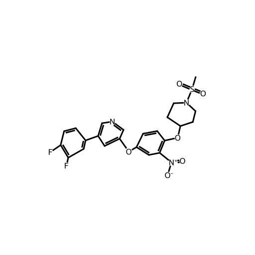 CS(=O)(=O)N1CCC(Oc2ccc(Oc3cncc(-c4ccc(F)c(F)c4)c3)cc2[N+](=O)[O-])CC1